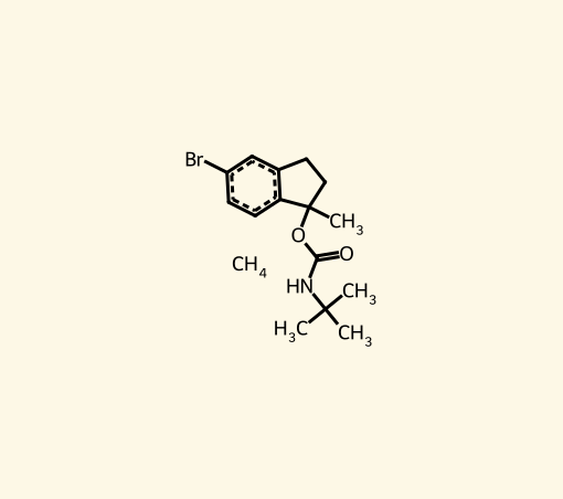 C.CC(C)(C)NC(=O)OC1(C)CCc2cc(Br)ccc21